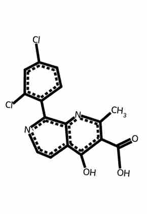 Cc1nc2c(-c3ccc(Cl)cc3Cl)nccc2c(O)c1C(=O)O